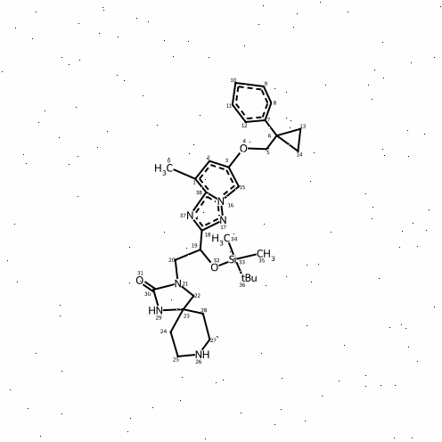 Cc1cc(OCC2(c3ccccc3)CC2)cn2nc(C(CN3CC4(CCNCC4)NC3=O)O[Si](C)(C)C(C)(C)C)nc12